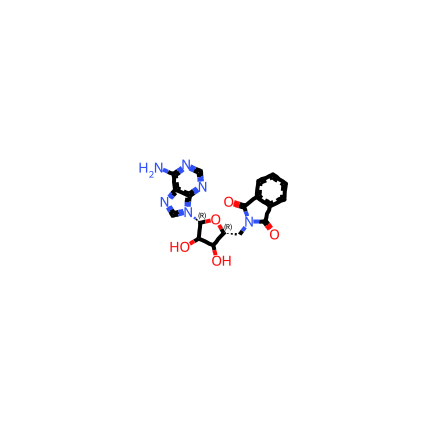 Nc1ncnc2c1ncn2[C@@H]1O[C@H](CN2C(=O)c3ccccc3C2=O)C(O)C1O